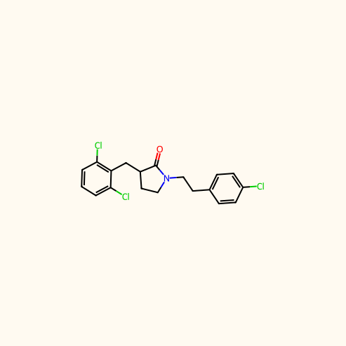 O=C1C(Cc2c(Cl)cccc2Cl)CCN1CCc1ccc(Cl)cc1